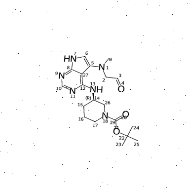 CN(CC=O)c1c[nH]c2ncnc(N[C@@H]3CCCN(C(=O)OC(C)(C)C)C3)c12